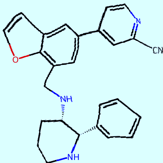 N#Cc1cc(-c2cc(CN[C@H]3CCCN[C@H]3c3ccccc3)c3occc3c2)ccn1